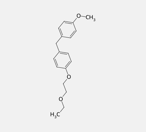 CCOCCOc1ccc(Cc2ccc(OC)cc2)cc1